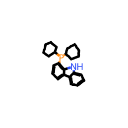 c1ccc2c(c1)[nH]c1c(P(C3CCCCC3)C3CCCCC3)cccc12